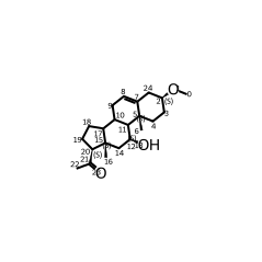 CO[C@H]1CC[C@@]2(C)C(=CCC3C2[C@@H](O)C[C@@]2(C)C3CC[C@@H]2C(C)=O)C1